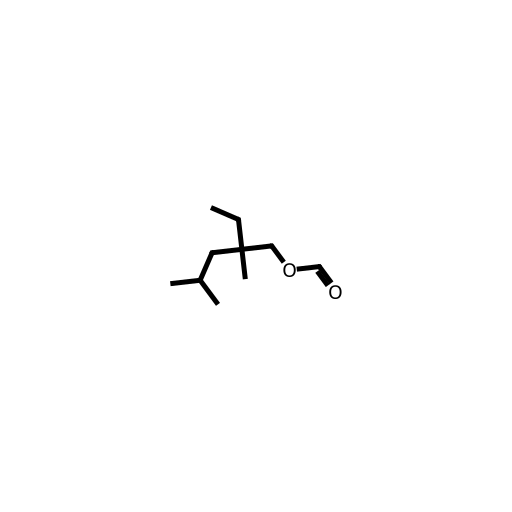 CCC(C)(COC=O)CC(C)C